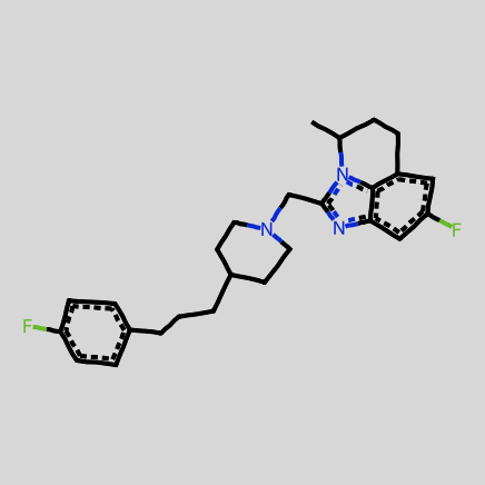 CC1CCc2cc(F)cc3nc(CN4CCC(CCCc5ccc(F)cc5)CC4)n1c23